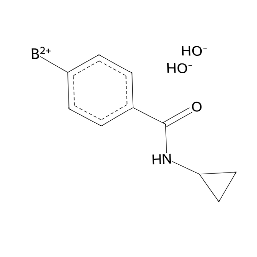 [B+2]c1ccc(C(=O)NC2CC2)cc1.[OH-].[OH-]